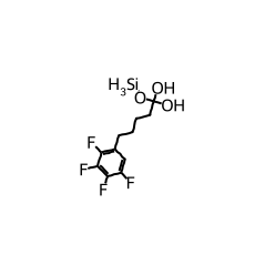 OC(O)(CCCCc1cc(F)c(F)c(F)c1F)O[SiH3]